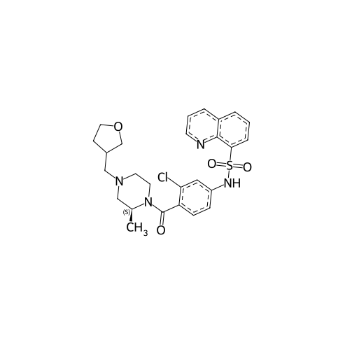 C[C@H]1CN(CC2CCOC2)CCN1C(=O)c1ccc(NS(=O)(=O)c2cccc3cccnc23)cc1Cl